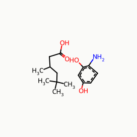 CC(CC(=O)O)CC(C)(C)C.Nc1ccc(O)cc1O